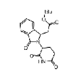 CC(C)(C)OC(=O)CC1c2ccccc2C(=O)N1C1CCC(=O)NC1=O